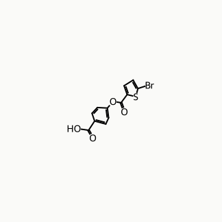 O=C(O)c1ccc(OC(=O)c2ccc(Br)s2)cc1